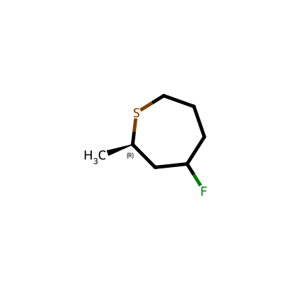 C[C@@H]1CC(F)CCCS1